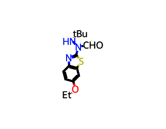 CCOc1ccc2nc(N(C=O)NC(C)(C)C)sc2c1